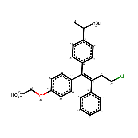 CCCCC(C)c1ccc(/C(=C(\CCCl)c2ccccc2)c2ccc(OCC(=O)O)cc2)cc1